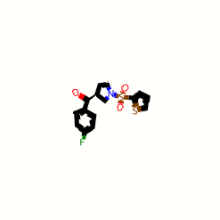 O=C(c1ccc(F)cc1)[C@H]1CCN(S(=O)(=O)c2cccs2)C1